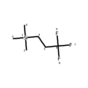 C[Si](C)(C)CCC(F)(F)F